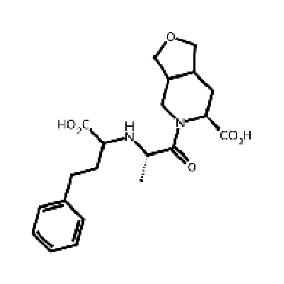 C[C@H](NC(CCc1ccccc1)C(=O)O)C(=O)N1CC2COCC2C[C@H]1C(=O)O